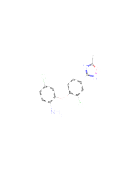 Cc1nc(-c2ccc(Oc3cc(Cl)ccc3N)c(Cl)c2)no1